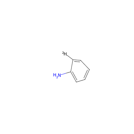 [2H]c1ccccc1N